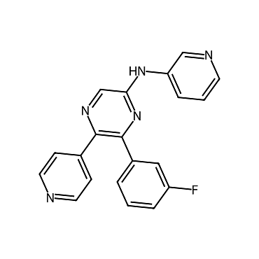 Fc1cccc(-c2nc(Nc3cccnc3)cnc2-c2ccncc2)c1